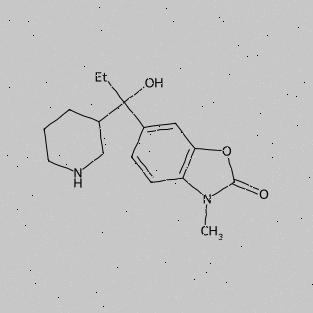 CCC(O)(c1ccc2c(c1)oc(=O)n2C)C1CCCNC1